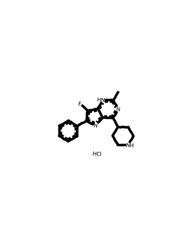 Cc1nc(C2CCNCC2)c2nc(-c3ccccc3)c(F)c-2[nH]1.Cl